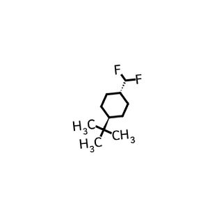 CC(C)(C)[C@H]1CC[C@H](C(F)F)CC1